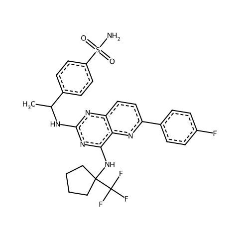 CC(Nc1nc(NC2(C(F)(F)F)CCCC2)c2nc(-c3ccc(F)cc3)ccc2n1)c1ccc(S(N)(=O)=O)cc1